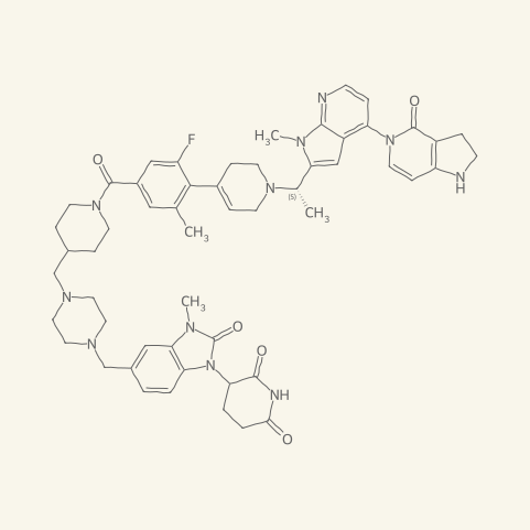 Cc1cc(C(=O)N2CCC(CN3CCN(Cc4ccc5c(c4)n(C)c(=O)n5C4CCC(=O)NC4=O)CC3)CC2)cc(F)c1C1=CCN([C@@H](C)c2cc3c(-n4ccc5c(c4=O)CCN5)ccnc3n2C)CC1